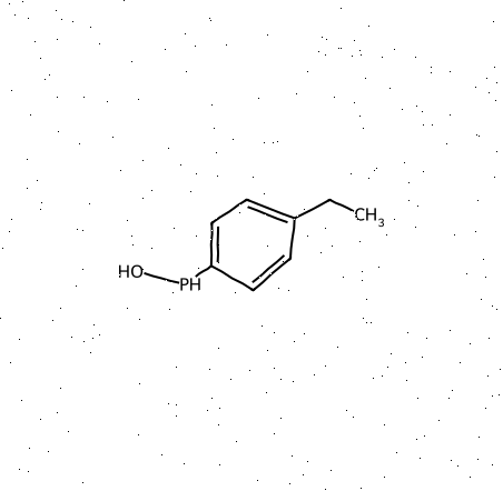 CCc1ccc(PO)cc1